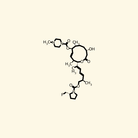 C/C(=C\C=C\[C@@H](C)COC(=O)N1CCC[C@@H]1CF)[C@H]1OC(=O)C[C@@H](O)CC[C@@H](C)[C@H](OC(=O)N2CCN(C)CC2)/C=C/[C@@H]1C